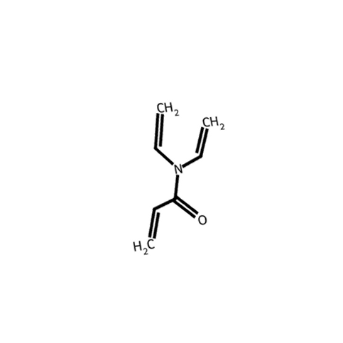 C=CC(=O)N(C=C)C=C